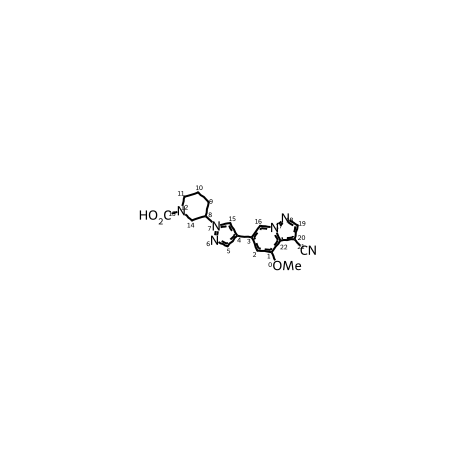 COc1cc(-c2cnn(C3CCCN(C(=O)O)C3)c2)cn2ncc(C#N)c12